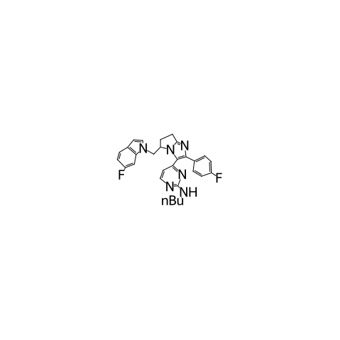 CCCCNc1nccc(-c2c(-c3ccc(F)cc3)nc3n2C(Cn2ccc4ccc(F)cc42)CC3)n1